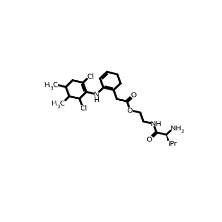 CC1CC(Cl)=C(NC2=C(CC(=O)OCCNC(=O)[C@@H](N)C(C)C)CCC=C2)C(Cl)C1C